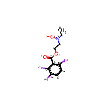 CCN(O)CCOC(=O)c1c(I)ccc(I)c1I